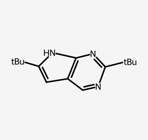 CC(C)(C)c1ncc2cc(C(C)(C)C)[nH]c2n1